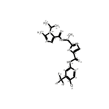 Cc1ncc(C(=O)N[C@H](C)c2ncc(C(=O)Nc3cc(C(F)(F)F)c(Cl)cn3)s2)n1C(C)C